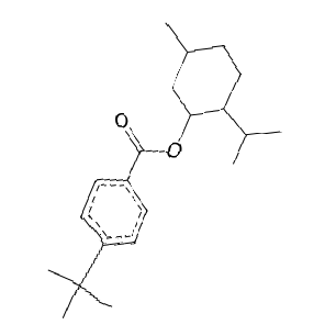 CC1CCC(C(C)C)C(OC(=O)c2ccc(C(C)(C)C)cc2)C1